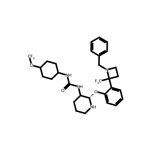 O=C(NC1CCC(OC(F)(F)F)CC1)NC1CCCN[C@H]1Oc1ccccc1C1(C(F)(F)F)CCN1Cc1ccccc1